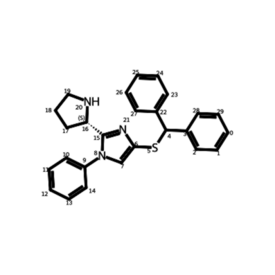 c1ccc(C(Sc2cn(-c3ccccc3)c([C@@H]3CCCN3)n2)c2ccccc2)cc1